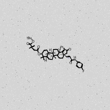 CC(C)C1=C2[C@H]3CC[C@@H]4[C@@]5(C)CC[C@H](OC(=O)CC(C)(C)C(=O)OC(C)(C)C)C(C)(C)[C@@H]5CC[C@@]4(C)[C@]3(C)CC[C@@]2(/C=C/C(=O)Nc2ccc(F)cc2)CC1=O